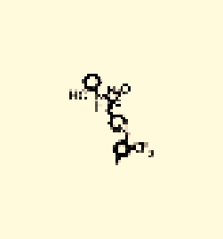 Cc1ccc(CN2CCC(/C=C3\SC(=O)N=C3N[C@H]3CCCC[C@H]3O)CC2)c(C(F)(F)F)c1